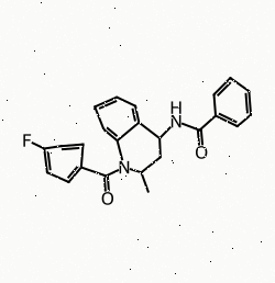 CC1CC(NC(=O)c2ccccc2)c2ccccc2N1C(=O)c1ccc(F)cc1